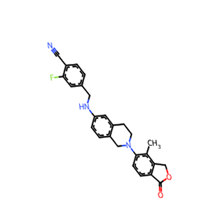 Cc1c(N2CCc3cc(NCc4ccc(C#N)c(F)c4)ccc3C2)ccc2c1COC2=O